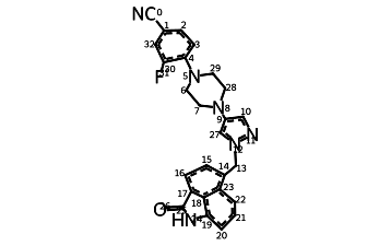 N#Cc1ccc(N2CCN(c3cnn(Cc4ccc5c6c(cccc46)NC5=O)c3)CC2)c(F)c1